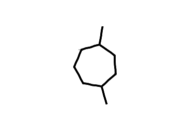 CC1[CH]CCC(C)CC1